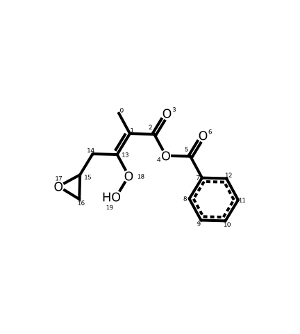 CC(C(=O)OC(=O)c1ccccc1)=C(CC1CO1)OO